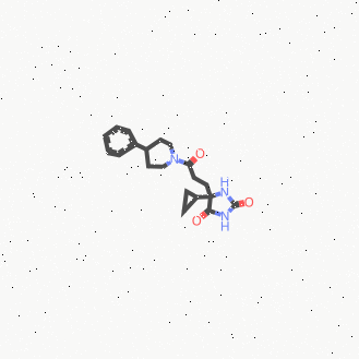 O=C1NC(=O)C(CCC(=O)N2CCC(c3ccccc3)CC2)(C2CC2)N1